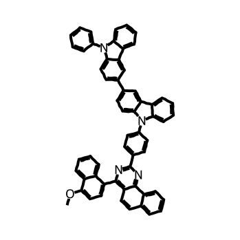 COc1ccc(-c2nc(-c3ccc(-n4c5ccccc5c5cc(-c6ccc7c(c6)c6ccccc6n7-c6ccccc6)ccc54)cc3)nc3c2ccc2ccccc23)c2ccccc12